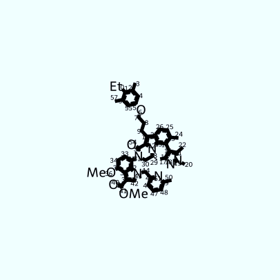 CCc1c(C)cc(OCCCc2c3n(c4c(-c5c(C)nn(C)c5C)c(C)ccc24)[C@H](C)CN(c2ccc(OC)c4c(C(=O)OC)cn(Cc5cccc(C)n5)c24)C3=O)cc1C